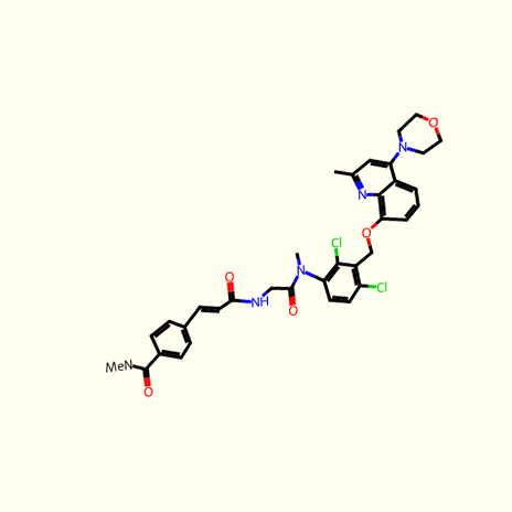 CNC(=O)c1ccc(C=CC(=O)NCC(=O)N(C)c2ccc(Cl)c(COc3cccc4c(N5CCOCC5)cc(C)nc34)c2Cl)cc1